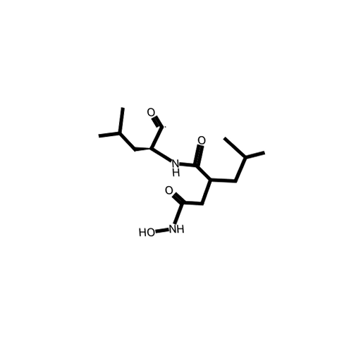 CC(C)CC(CC(=O)NO)C(=O)N[C@H]([C]=O)CC(C)C